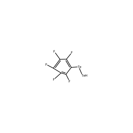 Fc1c(F)c(F)c([Te][TeH])c(F)c1F